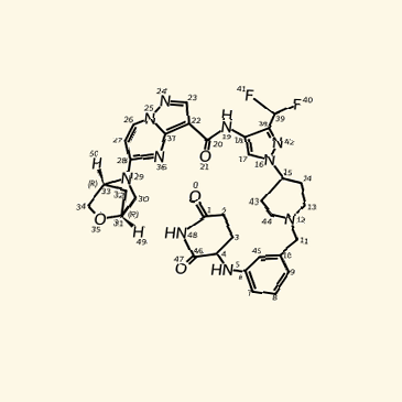 O=C1CCC(Nc2cccc(CN3CCC(n4cc(NC(=O)c5cnn6ccc(N7C[C@H]8C[C@@H]7CO8)nc56)c(C(F)F)n4)CC3)c2)C(=O)N1